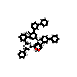 c1ccc(-c2cccc(-c3cc(-n4c5ccccc5c5cc(-c6ccccc6)ccc54)cc4c3oc3cccc(-c5nc(-c6ccccc6)nc(-c6ccccc6)n5)c34)c2)cc1